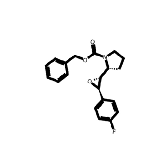 O=C(OCc1ccccc1)N1CCC[C@@H]1[C@H]1O[C@@H]1c1ccc(F)cc1